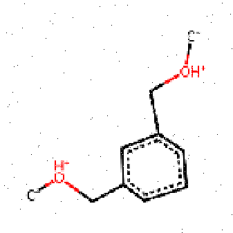 [CH2-][OH+]Cc1cccc(C[OH+][CH2-])c1